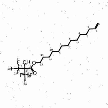 C=CCCCCCCCCCCCCOC(=O)C(O)(C(F)(F)F)C(F)(F)F